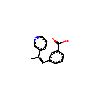 CC(=Cc1cccc(C(=O)O)c1)c1cccnc1